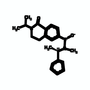 CC(C)N1CCc2cc([S+]([O-])N(C)[C@@H](C)c3ccccc3)ccc2C1=O